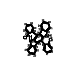 Clc1ccccc1-c1c2[nH]c3ccccc3c2c(-c2ccccc2Cl)c2[nH]c3ccccc3c12